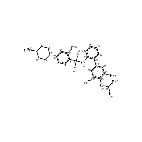 CCC[C@H]1CC[C@H](c2ccc(C(F)(F)Oc3ccccc3-c3cc(F)c(OC(F)F)c(F)c3)c(F)c2)CC1